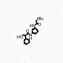 CC(C)(C)CC(=O)Nc1cccc(NC(=O)C(CO)c2ccccc2)c1